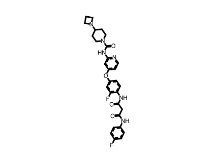 O=C(CC(=O)Nc1ccc(Oc2ccnc(NC(=O)N3CCC(N4CCC4)CC3)c2)cc1F)Nc1ccc(F)cc1